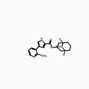 COc1ncccc1-c1c[nH]c(C(=O)NC2C[C@H]3CCC[C@@H](C2)N3C)c1